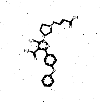 NC(=O)c1c(-c2ccc(Oc3ccccc3)cc2)nn([C@@H]2CCN(C/C=C/C(=O)O)C2)c1N